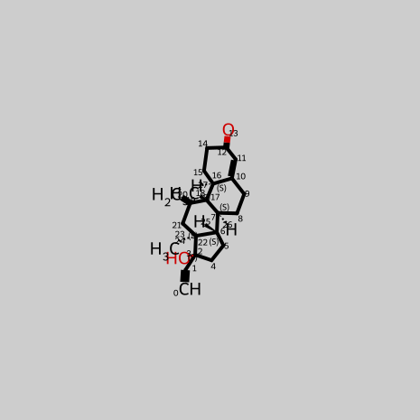 C#C[C@]1(O)CC[C@H]2[C@@H]3CCC4=CC(=O)CC[C@@H]4[C@@]3(C)C(=C)C[C@@]21CC